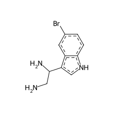 NCC(N)c1c[nH]c2ccc(Br)cc12